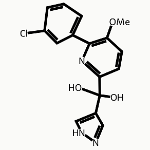 COc1ccc(C(O)(O)c2cn[nH]c2)nc1-c1cccc(Cl)c1